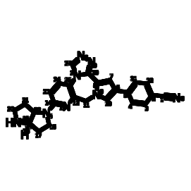 N#Cc1ccc(-c2cc3n(c2)Cc2nc(N4CC[C@H]5NCCC54)ccc2-n2cnnc2-3)cc1